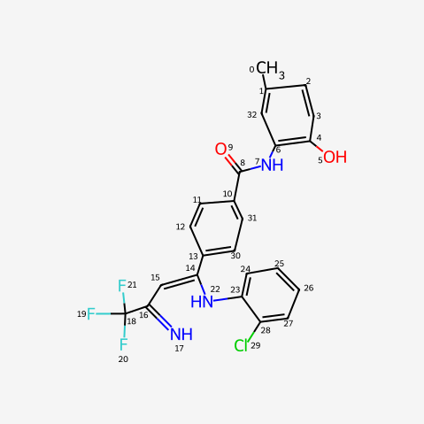 Cc1ccc(O)c(NC(=O)c2ccc(/C(=C/C(=N)C(F)(F)F)Nc3ccccc3Cl)cc2)c1